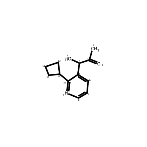 CC(=O)C(O)c1cccnc1C1CCC1